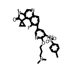 Cc1ccc(S(=O)(=O)Nc2cc(-c3ccc4ncc5c(c4c3F)C3(CC3)C(=O)N5C)cnc2OCCCN(C)C)cc1